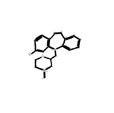 CCc1ccc2c(c1)N(CC1CN(C)CCO1)c1ccccc1CC2